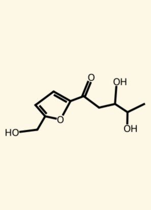 CC(O)C(O)CC(=O)c1ccc(CO)o1